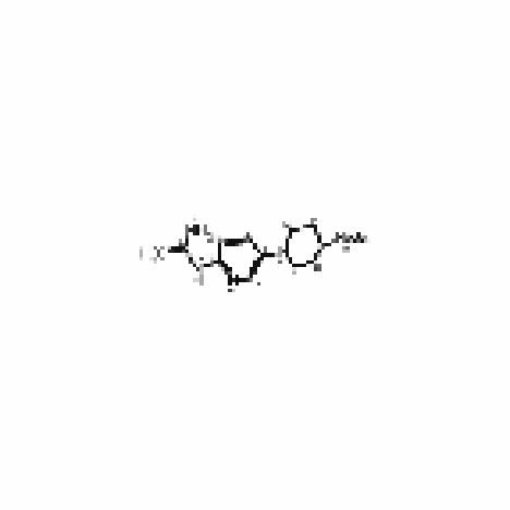 C=C(N)Nc1ccc(N2CCC(NC)CC2)cn1